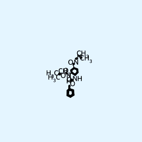 CN(C)/C=N/C(=O)[C@H]1CC[C@H](NC(=O)OCc2ccccc2)[C@H](NC(=O)OC(C)(C)C)C1